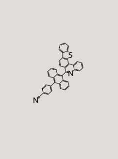 N#Cc1ccc(-c2c3ccccc3c(-c3nc4ccccc4c4c3ccc3c5ccccc5sc34)c3ccccc23)cc1